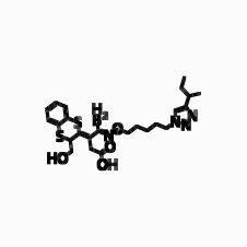 BC(=N\OCCCCCn1cc(C(C)CC)nn1)/C(CC(=O)O)=C1\Sc2ccccc2SC1CO